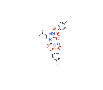 Cc1ccc(S(=O)(=O)NC(=O)N(CCC(C)C)C(=O)NS(=O)(=O)c2ccc(C)cc2)cc1